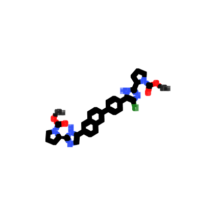 CC(C)(C)OC(=O)N1CCCC1c1nc(Cl)c(-c2ccc(-c3ccc4cc(-c5cnc([C@@H]6CCCN6C(=O)OC(C)(C)C)[nH]5)ccc4c3)cc2)[nH]1